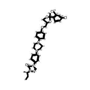 CC[C@@H](C)n1ncn(-c2ccc(N3CCN(c4ccc(OCC5COC(C)(c6ccc(Cl)cc6Cl)O5)cc4)CC3)cc2)c1=O